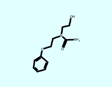 NC(=O)N(CCO)CCOc1[c]cccc1